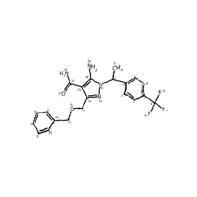 CC(c1ccc(C(F)(F)F)nc1)n1nc(COCc2ccccc2)c(C(N)=O)c1N